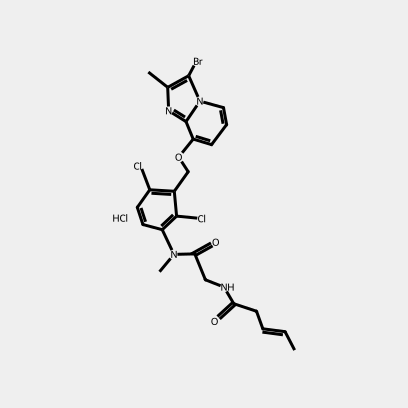 CC=CCC(=O)NCC(=O)N(C)c1ccc(Cl)c(COc2cccn3c(Br)c(C)nc23)c1Cl.Cl